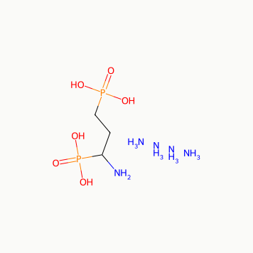 N.N.N.N.NC(CCP(=O)(O)O)P(=O)(O)O